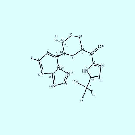 Cc1cc([C@@H]2CN(C(=O)c3ccc(C(F)(F)F)[nH]3)CC[C@H]2C)n2ncnc2n1